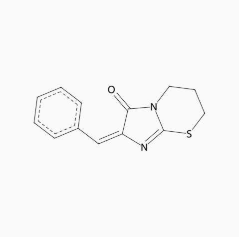 O=C1C(=Cc2ccccc2)N=C2SCCCN12